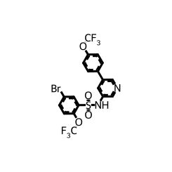 O=S(=O)(Nc1cncc(-c2ccc(OC(F)(F)F)cc2)c1)c1cc(Br)ccc1OC(F)(F)F